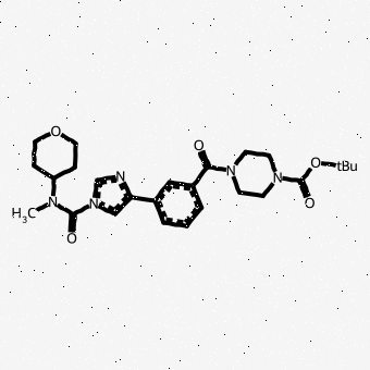 CN(C(=O)n1cnc(-c2cccc(C(=O)N3CCN(C(=O)OC(C)(C)C)CC3)c2)c1)C1CCOCC1